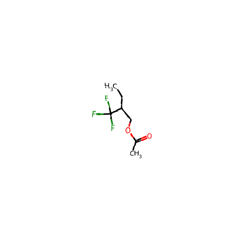 CCC(COC(C)=O)C(F)(F)F